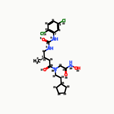 C[C@H](CNC(=O)Nc1cc(Cl)ccc1Cl)CC(=O)N(CCC1CCCC1)CC(=O)NO